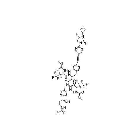 COC(=O)N[C@H](C(=O)N[C@@H](Cc1ccc(C#Cc2ccc(N3C[C@H]4C[C@@H]3CN4C3COC3)nc2)cc1)[C@@H](O)CN(Cc1ccc(C(=N)/C=C\NC(F)F)cc1)NC(=O)[C@@H](NC(=O)OC)C(C)(C)C(F)(F)F)C(C)(C)C(F)(F)F